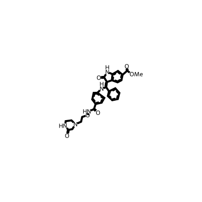 COC(=O)c1ccc2c(c1)NC(=O)/C2=C(\Nc1ccc(C(=O)NOCCN2CCNC(=O)C2)cc1)c1ccccc1